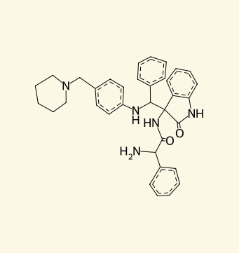 NC(C(=O)NC1(C(Nc2ccc(CN3CCCCC3)cc2)c2ccccc2)C(=O)Nc2ccccc21)c1ccccc1